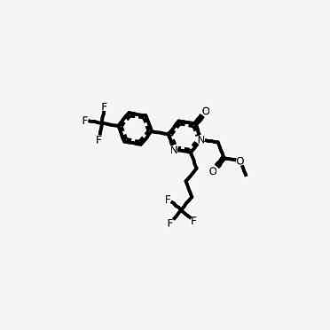 COC(=O)Cn1c(CCCC(F)(F)F)nc(-c2ccc(C(F)(F)F)cc2)cc1=O